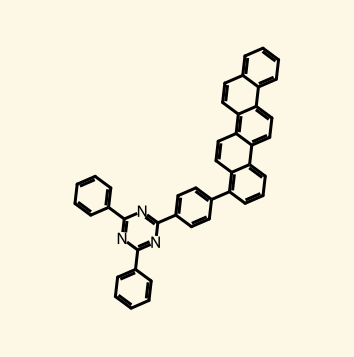 c1ccc(-c2nc(-c3ccccc3)nc(-c3ccc(-c4cccc5c4ccc4c5ccc5c6ccccc6ccc54)cc3)n2)cc1